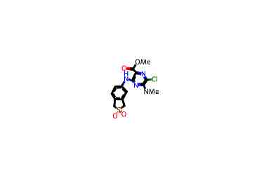 CNc1nc(Nc2ccc3c(c2)CS(=O)(=O)C3)c(C(=O)OC)nc1Cl